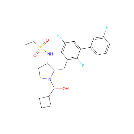 CCS(=O)(=O)N[C@H]1CCN(C(O)C2CCC2)[C@H]1Cc1cc(F)cc(-c2cccc(F)c2)c1F